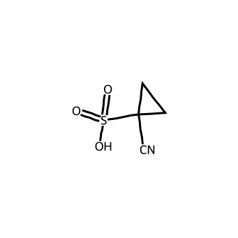 N#CC1(S(=O)(=O)O)CC1